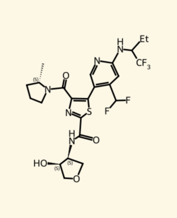 CCC(Nc1cc(C(F)F)c(-c2sc(C(=O)N[C@H]3COC[C@H]3O)nc2C(=O)N2CCC[C@@H]2C)cn1)C(F)(F)F